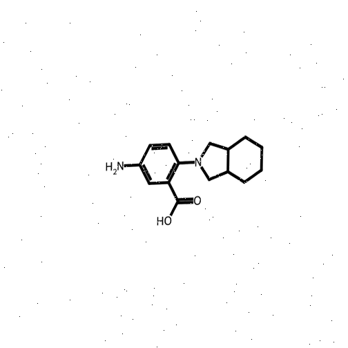 Nc1ccc(N2CC3CCCCC3C2)c(C(=O)O)c1